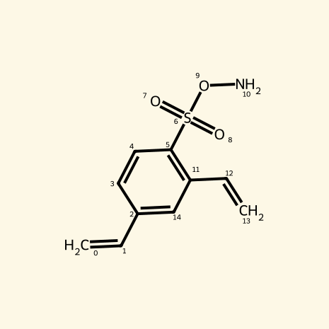 C=Cc1ccc(S(=O)(=O)ON)c(C=C)c1